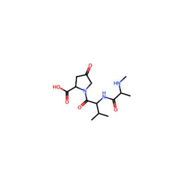 CNC(C)C(=O)NC(C(=O)N1CC(=O)CC1C(=O)O)C(C)C